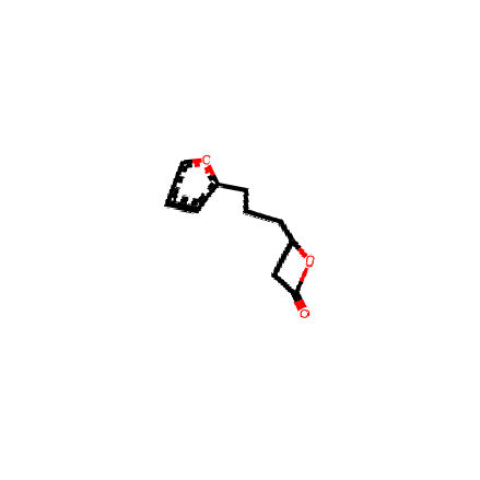 O=C1CC(CCCc2ccco2)O1